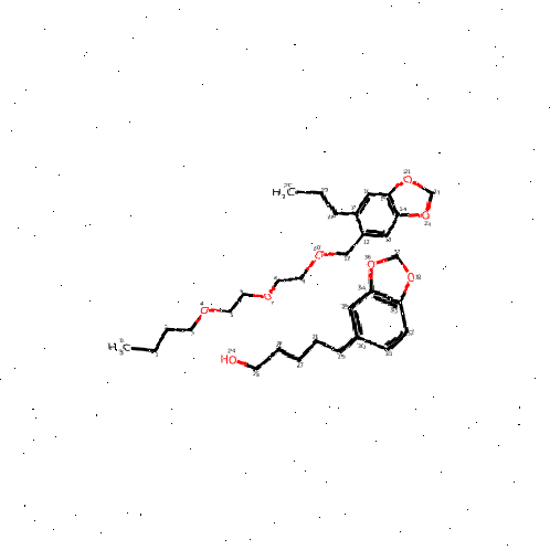 CCCCOCCOCCOCc1cc2c(cc1CCC)OCO2.OCCCCCc1ccc2c(c1)OCO2